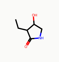 CCC1C(=O)NCC1O